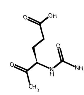 CC(=O)[C@@H](CCC(=O)O)NC(N)=O